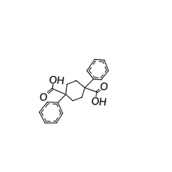 O=C(O)C1(c2ccccc2)CCC(C(=O)O)(c2ccccc2)CC1